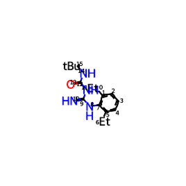 CCc1cccc(CC)c1NC(=N)NC(=O)NC(C)(C)C